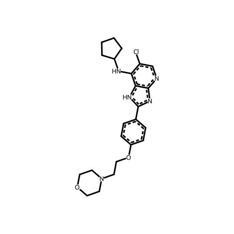 Clc1cnc2nc(-c3ccc(OCCN4CCOCC4)cc3)[nH]c2c1NC1CCCC1